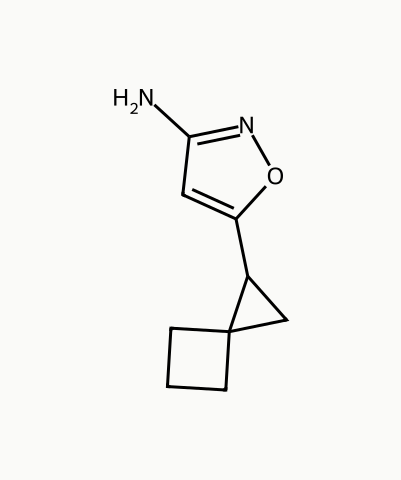 Nc1cc(C2CC23CCC3)on1